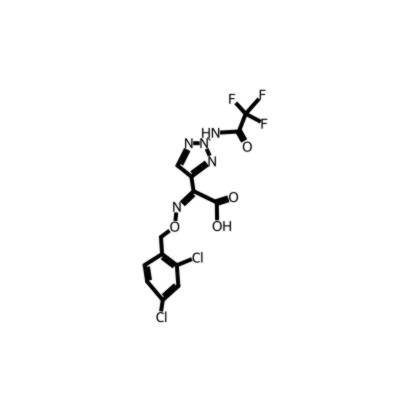 O=C(O)C(=NOCc1ccc(Cl)cc1Cl)c1cnn(NC(=O)C(F)(F)F)n1